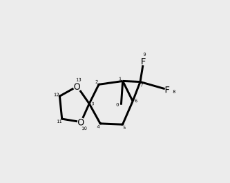 CC12CC3(CCC1C2(F)F)OCCO3